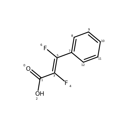 O=C(O)/C(F)=C(\F)c1ccccc1